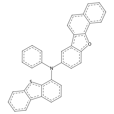 c1ccc(N(c2ccc3oc4c5ccccc5ccc4c3c2)c2cccc3c2sc2ccccc23)cc1